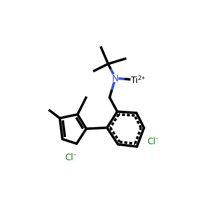 CC1=CCC(c2ccccc2C[N]([Ti+2])C(C)(C)C)=C1C.[Cl-].[Cl-]